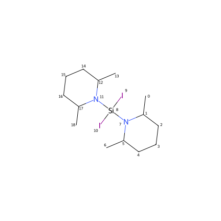 CC1CCCC(C)N1[Si](I)(I)N1C(C)CCCC1C